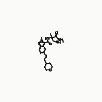 Cn1nc2ccc(OCC3CCOCC3)cc2c1C(=O)NC(C)(CO)C(N)=O